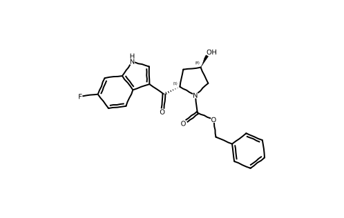 O=C(c1c[nH]c2cc(F)ccc12)[C@@H]1C[C@@H](O)CN1C(=O)OCc1ccccc1